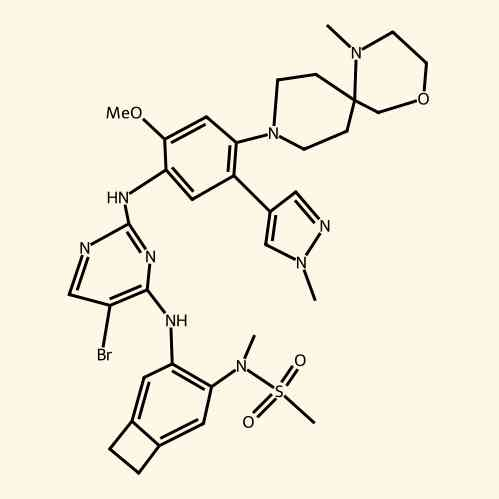 COc1cc(N2CCC3(CC2)COCCN3C)c(-c2cnn(C)c2)cc1Nc1ncc(Br)c(Nc2cc3c(cc2N(C)S(C)(=O)=O)CC3)n1